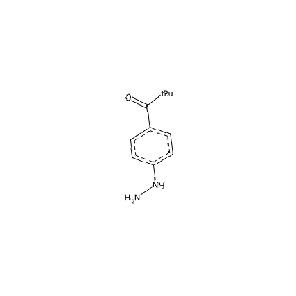 CC(C)(C)C(=O)c1ccc(NN)cc1